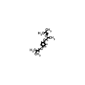 CC(C)=CCOc1ccc(OCC(C)ON=C(C)C)cc1